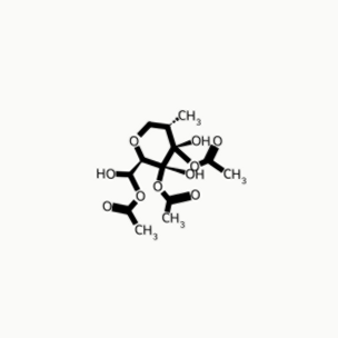 CC(=O)OC(O)[C@H]1OC[C@H](C)[C@](O)(OC(C)=O)[C@]1(O)OC(C)=O